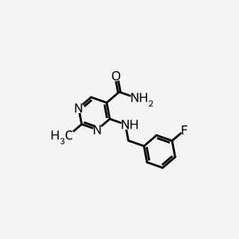 Cc1ncc(C(N)=O)c(NCc2cccc(F)c2)n1